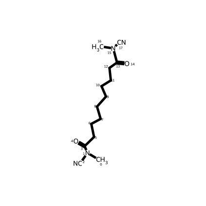 CN(C#N)C(=O)CCCCCCCCC(=O)N(C)C#N